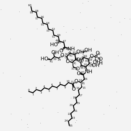 CCCCCCCCCCCC(=O)O[C@H](CCCCCCCCCCC)CC(=O)N[C@H]1[C@H](OC[C@H]2O[C@H](OCC(O)CO)[C@H](NC(=O)C[C@H](O)CCCCCCCCCCC)[C@@H](O)[C@@H]2O)O[C@H](CO)[C@@H](OP(=O)(O)O)[C@@H]1O